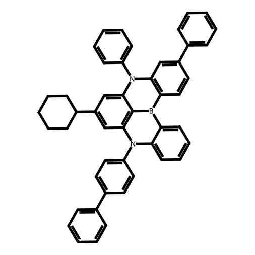 c1ccc(-c2ccc(N3c4ccccc4B4c5ccc(-c6ccccc6)cc5N(c5ccccc5)c5cc(C6CCCCC6)cc3c54)cc2)cc1